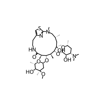 CO[C@]1(C)C[C@H](O[C@H]2[C@H](C)[C@@H](O[C@@H]3O[C@H](C)C[C@H](N(C)C)[C@H]3O)[C@](C)(O)C[C@@H](C)CN(C)c3nc(cs3)CCNC(=O)[C@@H]2C)O[C@@H](C)[C@@H]1O